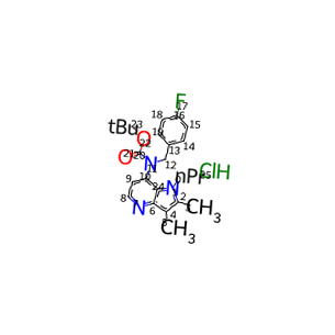 CCCn1c(C)c(C)c2nccc(N(Cc3ccc(F)cc3)C(=O)OC(C)(C)C)c21.Cl